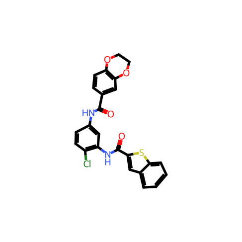 O=C(Nc1ccc(Cl)c(NC(=O)c2cc3ccccc3s2)c1)c1ccc2c(c1)OCCO2